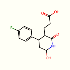 O=C(O)CCC1C(=O)NC(O)CC1c1ccc(F)cc1